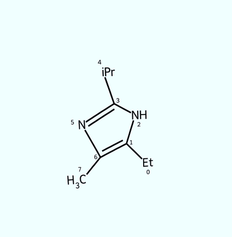 CCc1[nH]c(C(C)C)nc1C